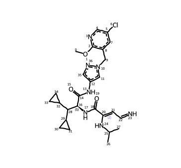 COc1ncc(Cl)cc1Cn1cc(NC(=O)[C@@H](NC(=O)/C(=C/C=N)NC(C)C)C(C2CC2)C2CC2)cn1